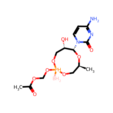 B[PH]1(OCOC(C)=O)OC[C@H](C)O[C@@H](n2ccc(N)nc2=O)[C@@H](O)CO1